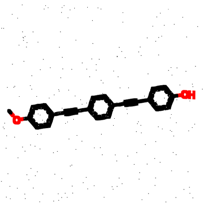 COc1ccc(C#Cc2ccc(C#Cc3ccc(O)cc3)cc2)cc1